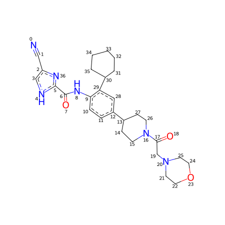 N#Cc1c[nH]c(C(=O)Nc2ccc(C3CCN(C(=O)CN4CCOCC4)CC3)cc2C2CCCCC2)n1